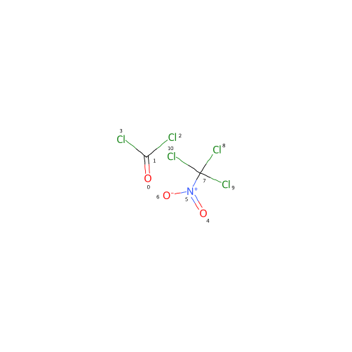 O=C(Cl)Cl.O=[N+]([O-])C(Cl)(Cl)Cl